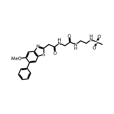 COc1cc2nc(CC(=O)NCC(=O)NCCNS(C)(=O)=O)sc2cc1-c1ccccc1